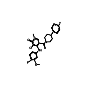 COc1cc(Nc2c(C(=O)N3CCC(c4ccc(F)cc4)CC3)cn(C)c(=O)c2Cl)ccc1F